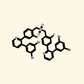 O=S(=O)(Cc1ccc(-c2ncccc2-c2cc(Br)cc(Br)c2)cc1F)Cc1ccc(-c2ncccc2-c2cc(Br)cc(Br)c2)cc1F